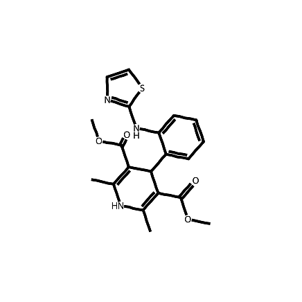 COC(=O)C1=C(C)NC(C)=C(C(=O)OC)C1c1ccccc1Nc1nccs1